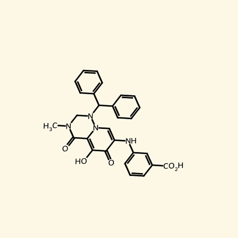 CN1CN(C(c2ccccc2)c2ccccc2)n2cc(Nc3cccc(C(=O)O)c3)c(=O)c(O)c2C1=O